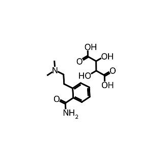 CN(C)CCc1ccccc1C(N)=O.O=C(O)C(O)C(O)C(=O)O